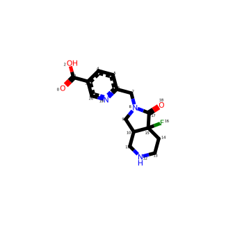 O=C(O)c1ccc(CN2CC3CNCCC3(F)C2=O)nc1